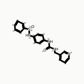 O=C(NCc1cccnc1)Nc1ccc(N[S+]([O-])c2ccccc2)cc1